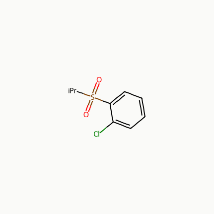 CC(C)S(=O)(=O)c1ccccc1Cl